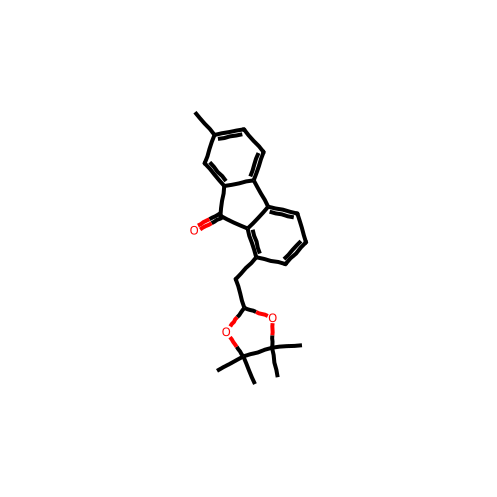 Cc1ccc2c(c1)C(=O)c1c(CC3OC(C)(C)C(C)(C)O3)cccc1-2